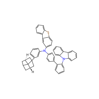 c1cc(N(c2ccc(-c3ccccc3-n3c4ccccc4c4ccccc43)cc2)c2ccc3sc4ccccc4c3c2)cc(C23C[C@@H]4CC5C[C@@H](C2)C543)c1